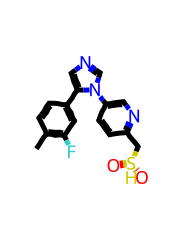 Cc1ccc(-c2cncn2-c2ccc(C[SH](=O)=O)nc2)cc1F